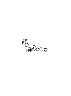 O=C(Nc1ccc(OCc2ccccc2)cc1)C(O)CCc1ccc(C(F)(F)F)cc1